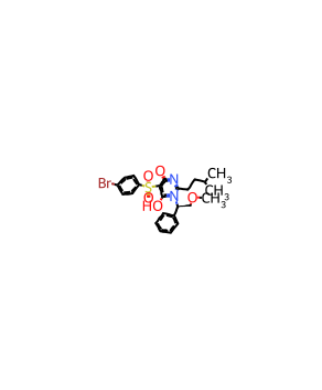 COC[C@@H](c1ccccc1)n1c(CCC(C)C)nc(=O)c(S(=O)(=O)c2ccc(Br)cc2)c1O